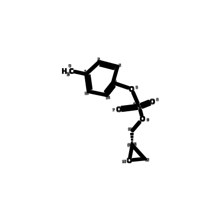 Cc1ccc(OS(=O)(=O)OC[C@@H]2CO2)cc1